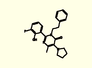 Cc1nc(-c2cccc(F)c2O)n(CCc2ccccc2)c(=O)c1N1CCCC1